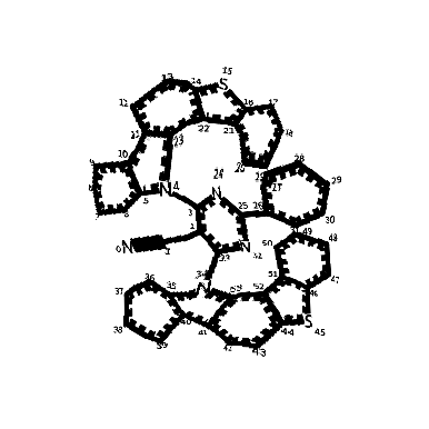 N#Cc1c(-n2c3ccccc3c3ccc4sc5ccccc5c4c32)nc(-c2ccccc2)nc1-n1c2ccccc2c2ccc3sc4ccccc4c3c21